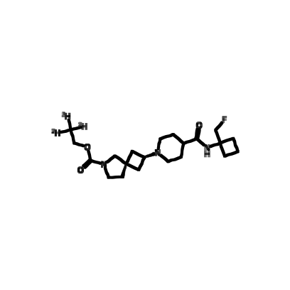 [2H]C([2H])([2H])COC(=O)N1CC[C@]2(C1)C[C@H](N1CCC(C(=O)NC3(CF)CCC3)CC1)C2